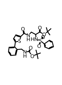 CC(C)(C)OC(=O)NCc1ccccc1-c1ccc(C(=O)NCC(NS(=O)(=O)c2ccccc2)C(=O)OC(C)(C)C)s1